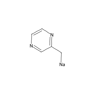 [Na][CH2]c1cnccn1